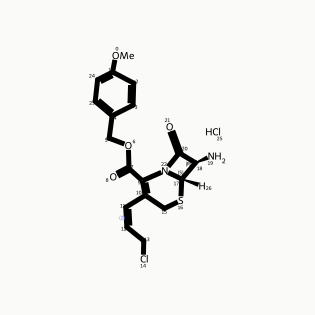 COc1ccc(COC(=O)C2=C(/C=C\CCl)CS[C@H]3[C@H](N)C(=O)N23)cc1.Cl